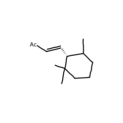 CC(=O)C=C[C@@H]1C(C)CCCC1(C)C